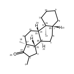 CC1C[C@H]2[C@@H]3CC[C@H]4CCCC[C@]4(C)[C@H]3CC[C@]2(C)C1=O